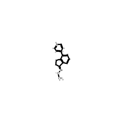 CON=C1CCc2c1cccc2-c1ccncc1